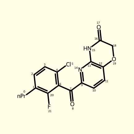 [CH2]CCc1ccc(Cl)c(C(=O)c2ccc3c(n2)NC(=O)CO3)c1F